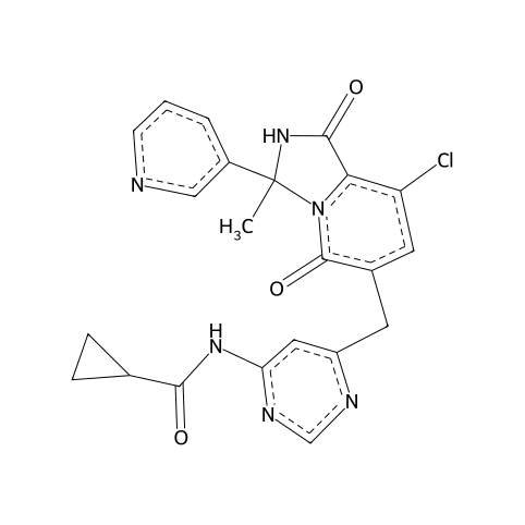 CC1(c2cccnc2)NC(=O)c2c(Cl)cc(Cc3cc(NC(=O)C4CC4)ncn3)c(=O)n21